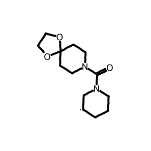 O=C(N1C[CH]CCC1)N1CCC2(CC1)OCCO2